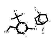 FC(F)(F)c1nc(N[C@@H]2C[C@@H]3CC[C@@H]2C3)ncc1CCl